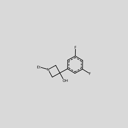 CCN1CC(O)(c2cc(F)cc(F)c2)C1